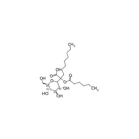 CCCCCCCCC(OC(=O)CCCCC)(C(=O)O)C1O[C@H](CO)[C@@H](O)[C@H](O)[C@H]1O